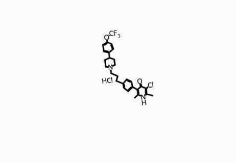 Cc1[nH]c(C)c(-c2ccc(CCCN3CCC(c4ccc(OC(F)(F)F)cc4)CC3)cc2)c(=O)c1Cl.Cl